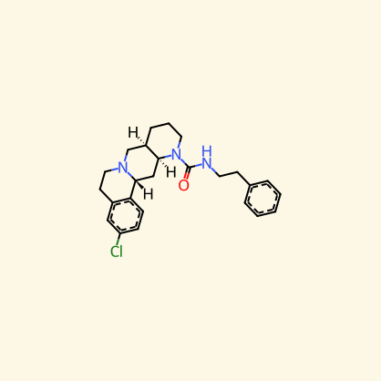 O=C(NCCc1ccccc1)N1CCC[C@@H]2CN3CCc4cc(Cl)ccc4[C@H]3C[C@@H]21